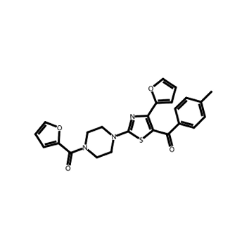 Cc1ccc(C(=O)c2sc(N3CCN(C(=O)c4ccco4)CC3)nc2-c2ccco2)cc1